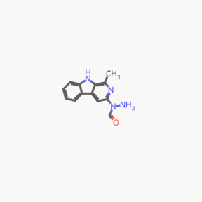 Cc1nc(N(N)C=O)cc2c1[nH]c1ccccc12